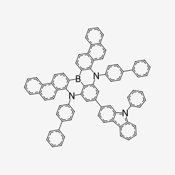 c1ccc(-c2ccc(N3c4cc(-c5ccc6c7ccccc7n(-c7ccccc7)c6c5)cc5c4B(c4ccc6c(ccc7ccccc76)c43)c3ccc4c(ccc6ccccc64)c3N5c3ccc(-c4ccccc4)cc3)cc2)cc1